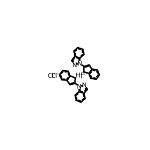 C1=C(n2ncc3ccccc32)[CH]([Hf+2][CH]2C(n3ncc4ccccc43)=Cc3ccccc32)c2ccccc21.[Cl-].[Cl-]